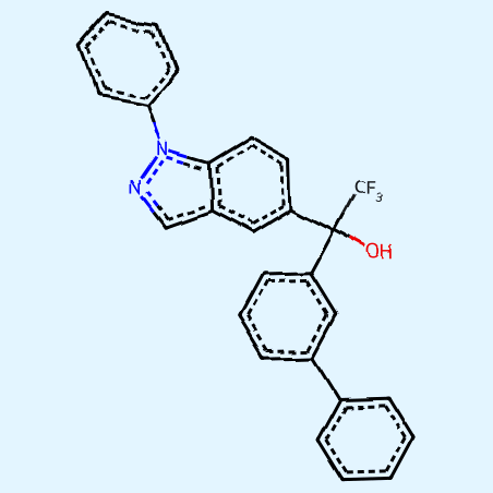 OC(c1cccc(-c2ccccc2)c1)(c1ccc2c(cnn2-c2ccccc2)c1)C(F)(F)F